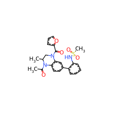 CC(=O)N1c2ccc(-c3ccccc3NS(C)(=O)=O)cc2N(C(=O)c2ccco2)CC1C